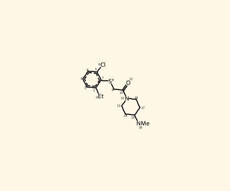 CCc1cccc(Cl)c1SCC(=O)N1CCC(NC)CC1